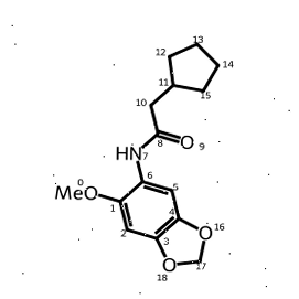 COc1cc2c(cc1NC(=O)CC1CCCC1)OCO2